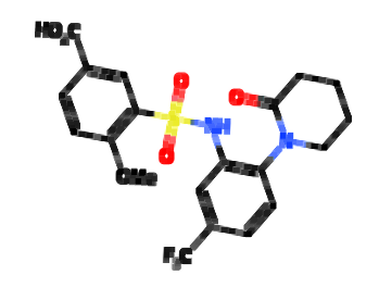 COc1ccc(C(=O)O)cc1S(=O)(=O)Nc1cc(C(F)(F)F)ccc1N1CCCCC1=O